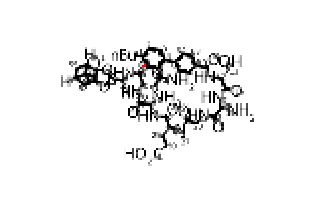 CCCCc1ccc(-c2ccc(C(=O)N[C@H](CO)C(=O)N[C@H](N)C(=O)NCC(=O)N(C)[C@@H](CCC(=O)O)C(=O)N[C@@H](N)C(=O)N[C@@H](CC(N)=O)C(=O)N[C@@H](N)B3OC4C[C@@H]5C[C@@H](C5(C)C)[C@]4(C)O3)cc2)cc1